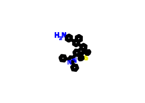 Nc1ccc(-c2ccc(-c3cccc4c3-c3ccc(-c5cc(-c6ccccc6)nc(-c6ccccc6)n5)cc3C43c4ccccc4Sc4ccccc43)c3ccccc23)cc1